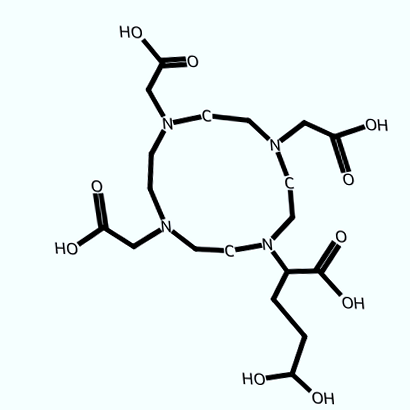 O=C(O)CN1CCN(CC(=O)O)CCN(C(CCC(O)O)C(=O)O)CCN(CC(=O)O)CC1